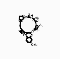 COc1ccc2nc3c(nc2c1)O[C@H]1CN(C(=O)[C@H](C(C)(C)C)NC(=O)O[C@@H]2CCC[C@H]2CCCC2(CC2)C3(F)F)[C@H](C(C)=O)[C@@H]1C